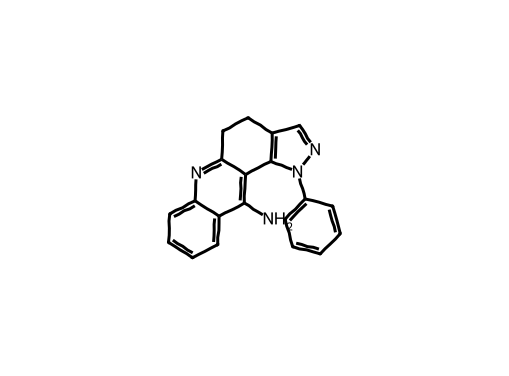 Nc1c2c(nc3ccccc13)CCc1cnn(-c3ccccc3)c1-2